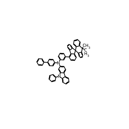 CC1(C)c2ccccc2C2(c3ccccc3-c3c(-c4cccc(N(c5ccc(-c6ccccc6)cc5)c5ccc6c7ccccc7n(-c7ccccc7)c6c5)c4)cccc32)c2ccccc21